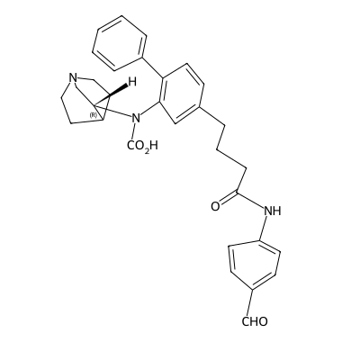 O=Cc1ccc(NC(=O)CCCc2ccc(-c3ccccc3)c(N(C(=O)O)[C@H]3CN4CCC3CC4)c2)cc1